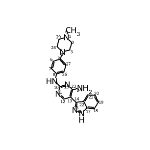 CN1CCN(c2ccc(Nc3ncc(-c4n[nH]c5ccccc45)c(N)n3)cc2)CC1